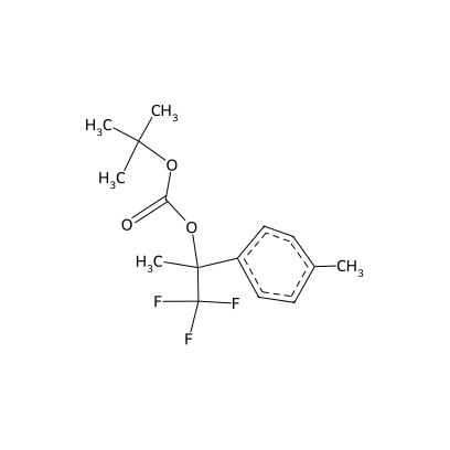 Cc1ccc(C(C)(OC(=O)OC(C)(C)C)C(F)(F)F)cc1